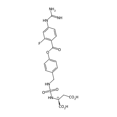 N=C(N)Nc1ccc(C(=O)Oc2ccc(CNS(=O)(=O)N[C@@H](CC(=O)O)C(=O)O)cc2)c(F)c1